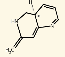 C=C1C=C2N=CC=C[C@@H]2CN1